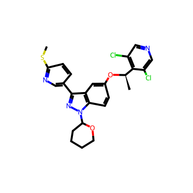 CSc1ccc(-c2nn(C3CCCCO3)c3ccc(O[C@H](C)c4c(Cl)cncc4Cl)cc23)cn1